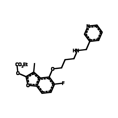 CCOC(=O)Oc1oc2ccc(F)c(OCCCNCc3cccnc3)c2c1C